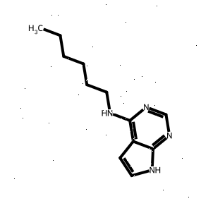 CCCCCCNc1ncnc2[nH]ccc12